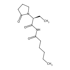 CCCCCC(=O)NC(=O)[C@H](CC)N1CCCC1=O